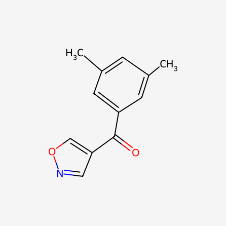 Cc1cc(C)cc(C(=O)c2cnoc2)c1